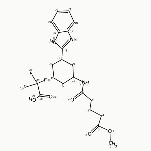 COC(=O)CCCC(=O)NC1CCCC(c2nc3ccccc3[nH]2)C1.O=C(O)C(F)(F)F